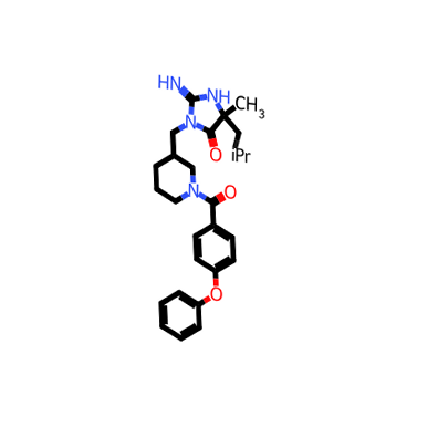 CC(C)CC1(C)NC(=N)N(CC2CCCN(C(=O)c3ccc(Oc4ccccc4)cc3)C2)C1=O